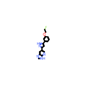 FCCOc1cccc(-c2cc(-c3cnc4[nH]cnc4c3)n[nH]2)c1